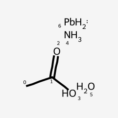 CC(=O)O.N.O.[PbH2]